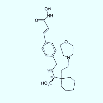 O=C(C=Cc1ccc(CN[C@H](C(=O)O)C2(CCN3CCOCC3)CCCCC2)cc1)NO